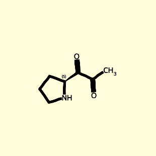 CC(=O)C(=O)[C@@H]1CCCN1